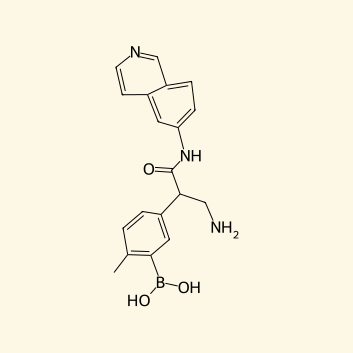 Cc1ccc(C(CN)C(=O)Nc2ccc3cnccc3c2)cc1B(O)O